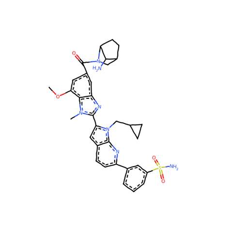 COc1cc(C(=O)N2CC3CCC2C3N)cc2nc(-c3cc4ccc(-c5cccc(S(N)(=O)=O)c5)nc4n3CC3CC3)n(C)c12